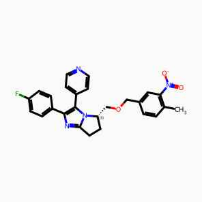 Cc1ccc(COC[C@@H]2CCc3nc(-c4ccc(F)cc4)c(-c4ccncc4)n32)cc1[N+](=O)[O-]